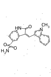 Cn1cc(C=C2C(=O)Nc3ccc(S(N)(=O)=O)cc32)c2ccccc21